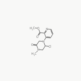 COC(=O)c1ncccc1N1CC(=O)N(C)CC1Cl